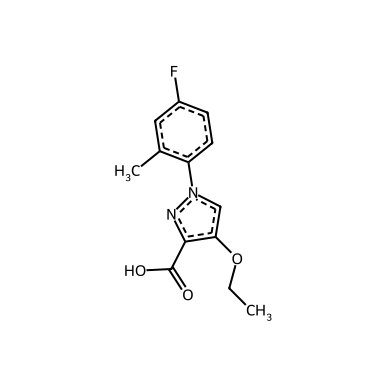 CCOc1cn(-c2ccc(F)cc2C)nc1C(=O)O